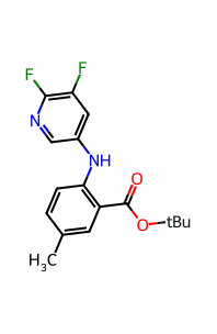 Cc1ccc(Nc2cnc(F)c(F)c2)c(C(=O)OC(C)(C)C)c1